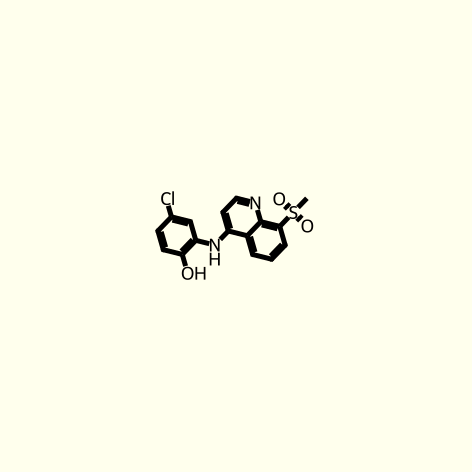 CS(=O)(=O)c1cccc2c(Nc3cc(Cl)ccc3O)ccnc12